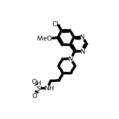 COc1cc2c(N3CCC(CCN[SH](=O)=O)CC3)ncnc2cc1Cl